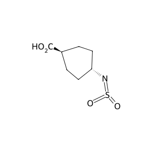 O=C(O)[C@H]1CC[C@H](N=S(=O)=O)CC1